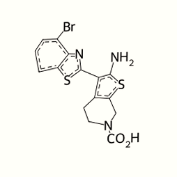 Nc1sc2c(c1-c1nc3c(Br)cccc3s1)CCN(C(=O)O)C2